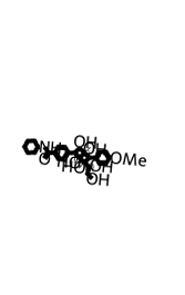 COc1ccc(C2[C@]3(O)C(O)C(c4ccc(C(=O)NC5CCCCC5)cc4)[C@]3(O)[C@]2(O)[C@H](O)CO)cc1